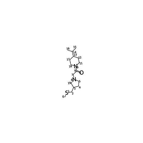 CSCC1CCN(CC(=O)N2CCC(C(C)C)CC2)C1